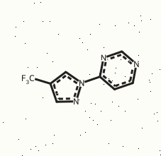 FC(F)(F)c1cnn(-c2ccncn2)c1